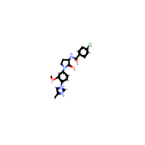 COc1cc(N2CCC(NC(=O)c3ccc(Cl)cc3)C2=O)ccc1-n1cnc(C)c1